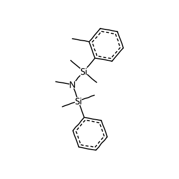 Cc1ccccc1[Si](C)(C)N(C)[Si](C)(C)c1ccccc1